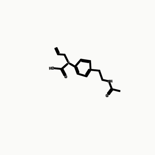 C=CCN(C(=O)O)c1ccc(CCNC(C)=O)cc1